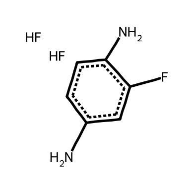 F.F.Nc1ccc(N)c(F)c1